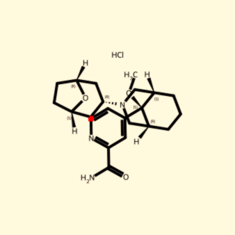 CO[C@]1(c2ccnc(C(N)=O)c2)[C@@H]2CCC[C@H]1CN([C@H]1C[C@H]3CC[C@@H](C1)O3)C2.Cl